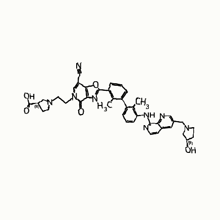 Cc1c(Nc2nccc3cc(CN4CC[C@@H](O)C4)cnc23)cccc1-c1cccc(-c2nc3c(=O)n(CCN4CC[C@@H](C(=O)O)C4)cc(C#N)c3o2)c1C